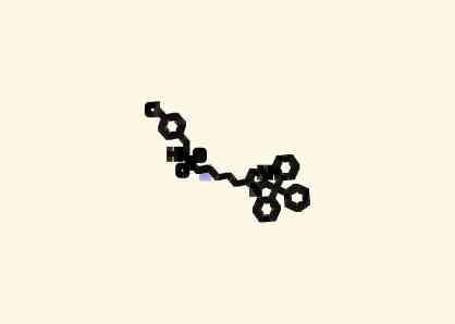 O=S(=O)(/C=C/CCCc1c[nH]c(C(c2ccccc2)(c2ccccc2)c2ccccc2)n1)NCc1ccc(Cl)cc1